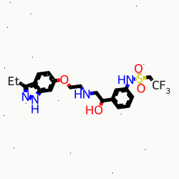 CCc1n[nH]c2cc(OCCNCC(O)c3cccc(NS(=O)(=O)CC(F)(F)F)c3)ccc12